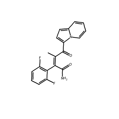 CC(C(=O)c1ccc2ccccn12)=C(C(N)=O)c1c(F)cccc1F